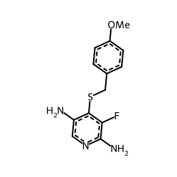 COc1ccc(CSc2c(N)cnc(N)c2F)cc1